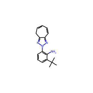 CC(C)(C)c1cccc(-n2nc3c(n2)CC=CC=C3)c1N